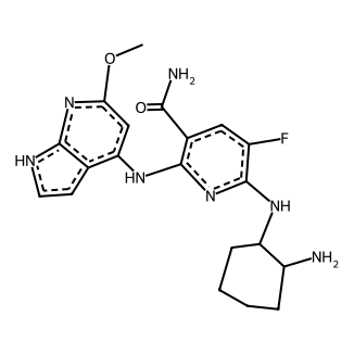 COc1cc(Nc2nc(NC3CCCCC3N)c(F)cc2C(N)=O)c2cc[nH]c2n1